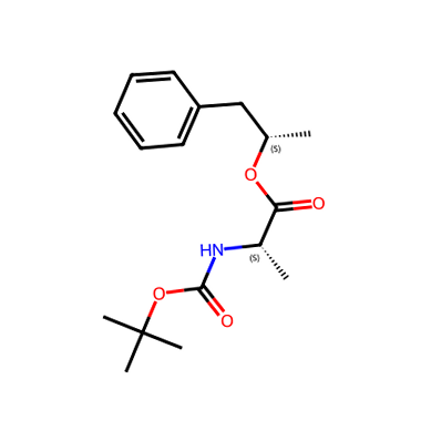 C[C@H](NC(=O)OC(C)(C)C)C(=O)O[C@@H](C)Cc1ccccc1